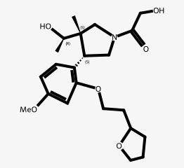 COc1ccc([C@H]2CN(C(=O)CO)C[C@@]2(C)[C@@H](C)O)c(OCCC2CCCO2)c1